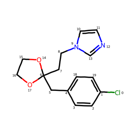 Clc1ccc(CC2(CCn3ccnc3)OCCO2)cc1